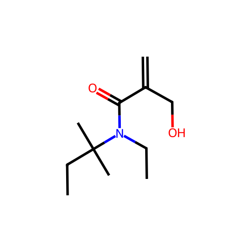 C=C(CO)C(=O)N(CC)C(C)(C)CC